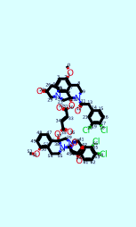 COc1cccc2c1CCN(C(=O)Cc1ccc(Cl)c(Cl)c1)C2(CN1CCC(=O)C1)OC(=O)/C=C/C(=O)OC1(CN2CCC(=O)C2)c2cccc(OC)c2CCN1C(=O)Cc1ccc(Cl)c(Cl)c1